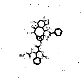 CCC(=O)OC(C(=O)OC1C=C2[C@@H](O)C(=O)[C@@]3(C)C(C(OC(=O)c4ccccc4)[C@](O)(C1)C2(C)C)[C@]1(OC(C)=O)CO[C@@H]1C[C@@H]3O)C(NC(=O)OC(C)(C)C)c1ccccc1